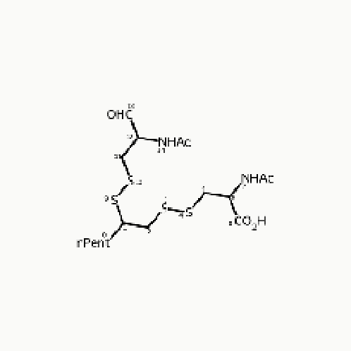 CCCCCC(CSSCC(NC(C)=O)C(=O)O)SSCC(C=O)NC(C)=O